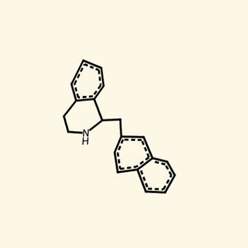 c1ccc2c(c1)CCNC2Cc1ccc2ccccc2c1